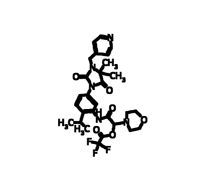 CC(C)c1ccc(N2C(=O)N(Cc3ccncc3)C(C)(C)C2=O)cc1NC(=O)C(OC(=O)C(F)(F)F)N1CCOCC1